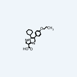 CCCOc1ccc(-c2cnc3c(C(=O)O)cnn3c2C2CCCCC2)cc1